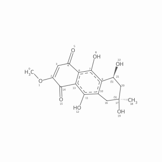 COC1=CC(=O)c2c(O)c3c(c(O)c2C1=O)C[C@](C)(O)C[C@@H]3O